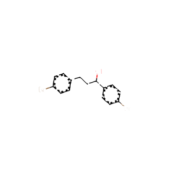 OC(CCc1ccc(Br)cc1)c1ccc(Br)cc1